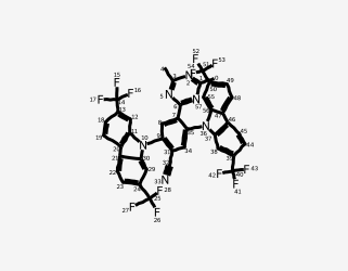 Cc1nc(C)nc(-c2cc(-n3c4cc(C(F)(F)F)ccc4c4ccc(C(F)(F)F)cc43)c(C#N)cc2-n2c3cc(C(F)(F)F)ccc3c3ccc(C(F)(F)F)cc32)n1